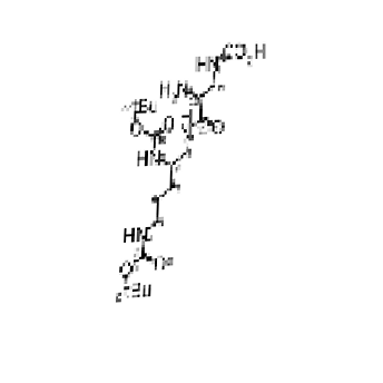 CC(C)(C)OC(=O)NCCC[C@H](CNC(=O)[C@@H](N)CNC(=O)O)NC(=O)OC(C)(C)C